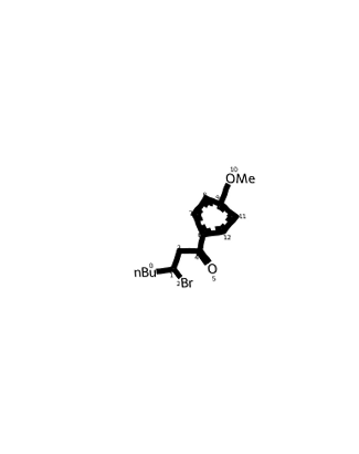 CCCCC(Br)CC(=O)c1ccc(OC)cc1